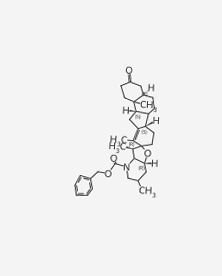 CC1=C2C[C@H]3C(CC[C@@H]4CC(=O)CCC43C)[C@@H]2CCC12O[C@@H]1CC(C)CN(C(=O)OCc3ccccc3)C1[C@H]2C